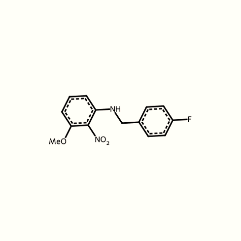 COc1cccc(NCc2ccc(F)cc2)c1[N+](=O)[O-]